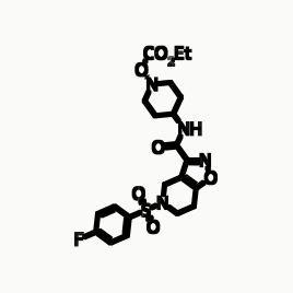 CCOC(=O)ON1CCC(NC(=O)c2noc3c2CN(S(=O)(=O)c2ccc(F)cc2)CC3)CC1